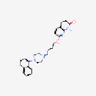 CN1C(=O)CCc2ccc(OCCCCN3CCN(C4=CCCc5ccccc54)CC3)nc21